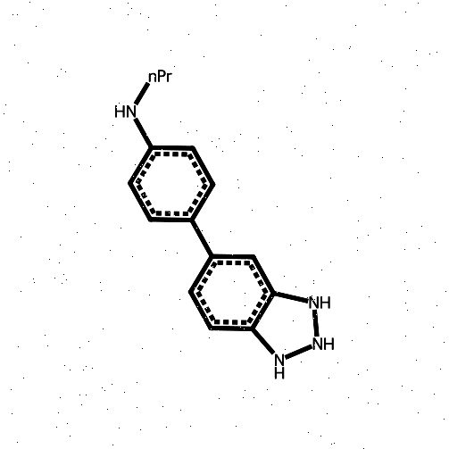 CCCNc1ccc(-c2ccc3c(c2)NNN3)cc1